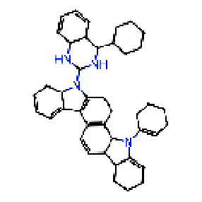 C1=CCC2C(=C1)C1=C(CCC3=C1C=CC1C4CCCC=C4N(C4=CCCCC4)C31)N2C1NC2C=CC=CC2C(C2CCCCC2)N1